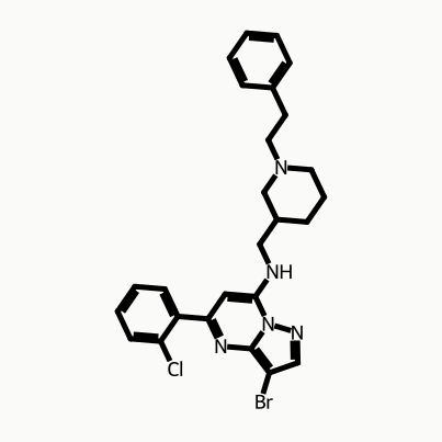 Clc1ccccc1-c1cc(NCC2CCCN(CCc3ccccc3)C2)n2ncc(Br)c2n1